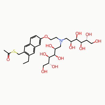 CCc1cc2cc(OCCN(C[C@H](O)[C@@H](O)[C@H](O)[C@H](O)CO)C[C@H](O)[C@@H](O)[C@H](O)[C@H](O)CO)ccc2cc1CSC(C)=O